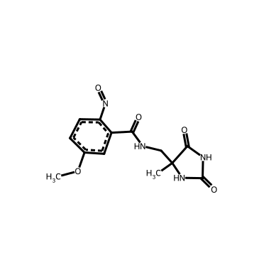 COc1ccc(N=O)c(C(=O)NCC2(C)NC(=O)NC2=O)c1